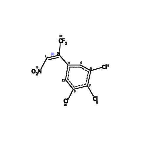 O=[N+]([O-])/C=C(\c1cc(Cl)c(Cl)c(Cl)c1)C(F)(F)F